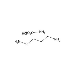 Cl.NC(=O)O.NCCCCN